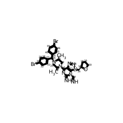 C[C@@H]1CN(c2nc(=N)n(C=N)c3c2nnn3C[C@H]2CCCO2)[C@@H](C)CN1C(c1ccc(Br)cc1)c1ccc(Br)cc1